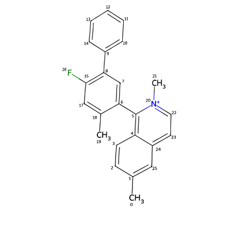 Cc1ccc2c(-c3cc(-c4ccccc4)c(F)cc3C)[n+](C)ccc2c1